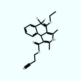 CCOC(=O)C1=C(C)NC(C)=C(C(=O)OCCC#N)C1c1ccccc1C(F)(F)F